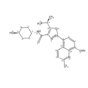 COc1ccc(-c2nc(C(=O)N[C@H]3CC[C@H](O)CC3)c([C@H](C)N)o2)c2ccc(C(F)(F)F)nc12